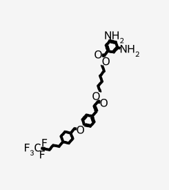 Nc1cc(N)cc(C(=O)OCCCCCCOC(=O)C=Cc2ccc(OCC3CCC(CCCC(F)(F)C(F)(F)F)CC3)cc2)c1